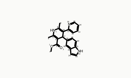 COC(=O)C1=C(C)NC(C)=C(c2ccccn2)C1c1ccc2[nH]ccc2c1